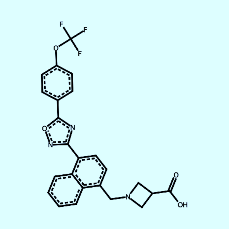 O=C(O)C1CN(Cc2ccc(-c3noc(-c4ccc(OC(F)(F)F)cc4)n3)c3ccccc23)C1